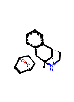 C1CC2CCC1CO2.c1ccc2c(c1)C[C@H]1NCC[C@@]23CCCC[C@@H]13